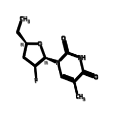 CC[C@@H]1CC(F)[C@H](n2cc(C)c(=O)[nH]c2=O)O1